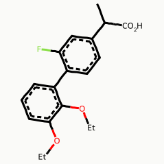 CCOc1cccc(-c2ccc(C(C)C(=O)O)cc2F)c1OCC